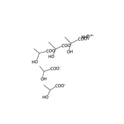 CC(O)C(=O)[O-].CC(O)C(=O)[O-].CC(O)C(=O)[O-].CC(O)C(=O)[O-].CC(O)C(=O)[O-].[NH4+].[Zr+4]